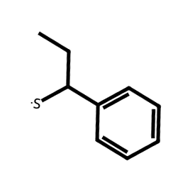 CCC([S])c1ccccc1